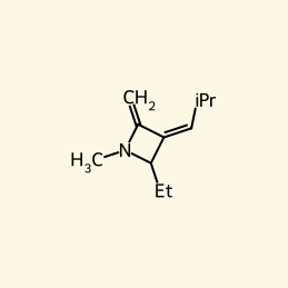 C=C1/C(=C\C(C)C)C(CC)N1C